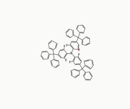 Fc1cc(C(c2ccccc2)(c2ccccc2)c2ccccc2)cc(F)c1B(c1c(F)cc(C(c2ccccc2)(c2ccccc2)c2ccccc2)cc1F)c1c(F)cc(C(c2ccccc2)(c2ccccc2)c2ccccc2)cc1F